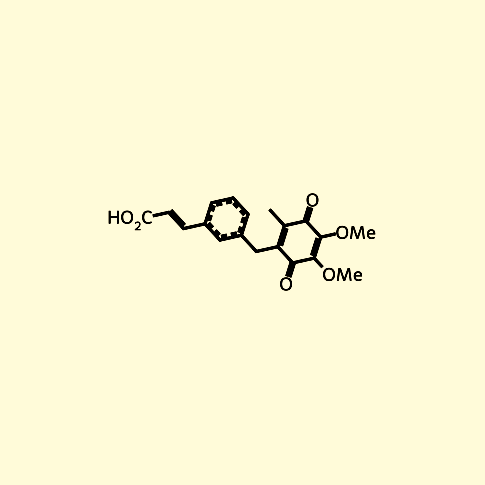 COC1=C(OC)C(=O)C(Cc2cccc(C=CC(=O)O)c2)=C(C)C1=O